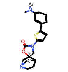 CC(=O)N(C)c1cccc(-c2ccc(N3C[C@@]4(CN5CCC4CC5)OC3=O)s2)c1